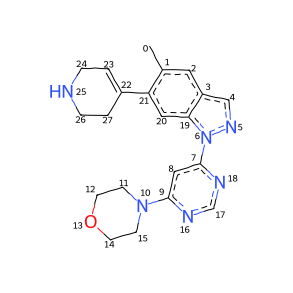 Cc1cc2cnn(-c3cc(N4CCOCC4)ncn3)c2cc1C1=CCNCC1